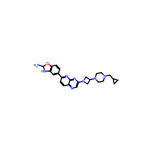 NC1Nc2cc(-c3ccc4ncc(N5CC(N6CCN(CC7CC7)CC6)C5)nc4n3)ccc2O1